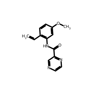 C=Cc1ccc(OC)cc1NC(=O)c1cnccn1